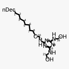 CCCCCCCCCCCCCCCCCCOCNc1nc(NCO)nc(NCO)n1